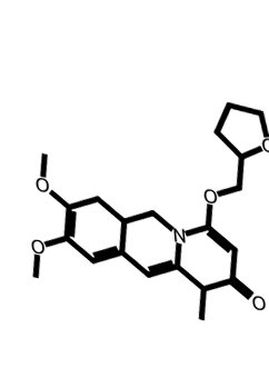 COC1=C(OC)CC2CN3C(OCC4CCCO4)=CC(=O)C(C)C3=CC2=C1